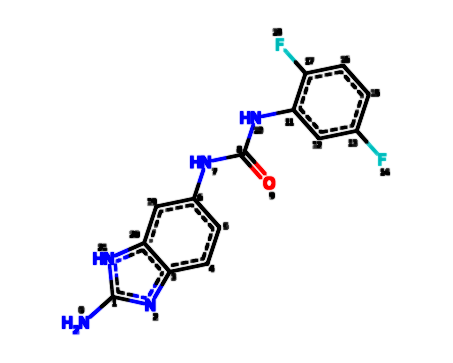 Nc1nc2ccc(NC(=O)Nc3cc(F)ccc3F)cc2[nH]1